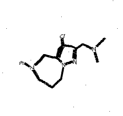 CC(C)N1CCCn2nc(CN(C)C)c(Cl)c2C1